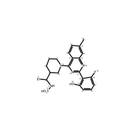 CCC(NC(=O)O)C1CCCN(c2nc(-c3c(O)cccc3F)nc3cc(C)ccc23)C1